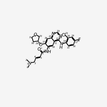 CN(C)CC=CC(=O)Nc1cc2c(Nc3ccc(F)cc3Cl)ncnc2cc1O[C@H]1CCOC1